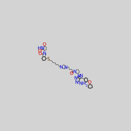 Nc1ncnc2c1c(-c1ccc(Oc3ccccc3)cc1)nn2C1CCCN(C(=O)CCCN2CCN(CCCCCCCSc3cccc4c3CN(C3CCC(=O)NC3=O)C4=O)CC2)C1